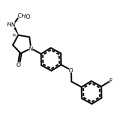 O=CN[C@@H]1CC(=O)N(c2ccc(OCc3cccc(F)c3)cc2)C1